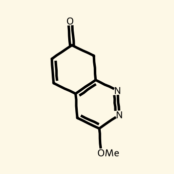 COc1cc2c(nn1)CC(=O)C=C2